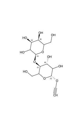 C#CO[C@@H]1OC(CO)[C@@H](O[C@@H]2OC(CO)[C@H](O)[C@H](O)C2O)[C@H](O)C1O